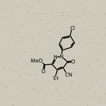 CCc1c(C(=O)OC)nn(-c2ccc(Cl)cc2)c(=O)c1C#N